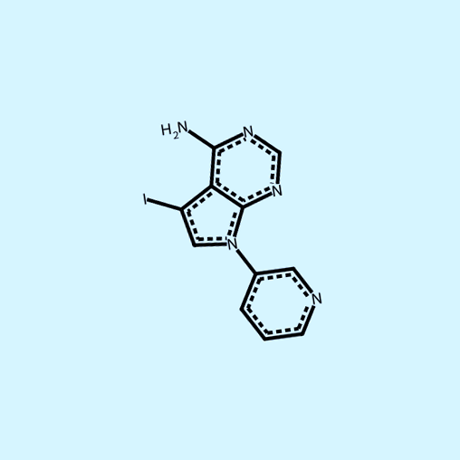 Nc1ncnc2c1c(I)cn2-c1cccnc1